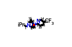 CC(C)CN1C2C3=C4C1C4N(c1ccc(C(F)(F)F)cn1)C32